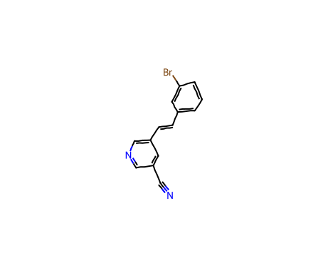 N#Cc1cncc(C=Cc2cccc(Br)c2)c1